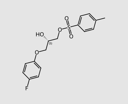 Cc1ccc(S(=O)(=O)OC[C@@H](O)COc2ccc(F)cc2)cc1